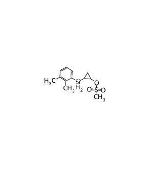 Cc1cccc([SiH2]C2CC2OS(C)(=O)=O)c1C